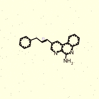 Nc1nc2ccccc2c2cc(/C=C/Cc3ccccc3)cnc12